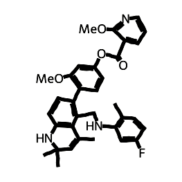 COc1cc(OC(=O)c2cccnc2OC)ccc1-c1ccc2c(c1CNc1cc(F)ccc1C)C(C)=CC(C)(C)N2